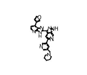 c1cc(-c2ccoc2)c2nc(-c3n[nH]c4cnc(-c5cncc(CN6CCCCC6)c5)cc34)[nH]c2n1